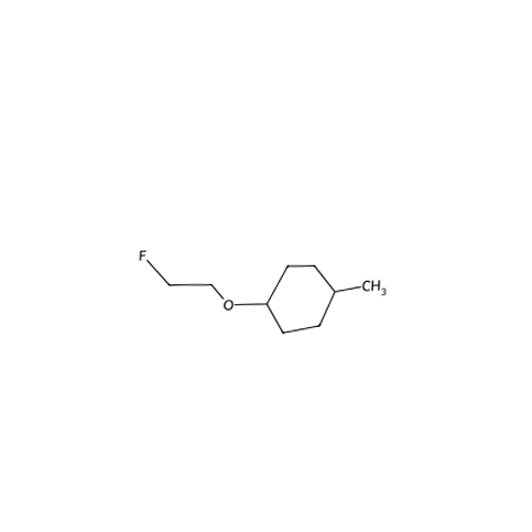 CC1CCC(OCCF)CC1